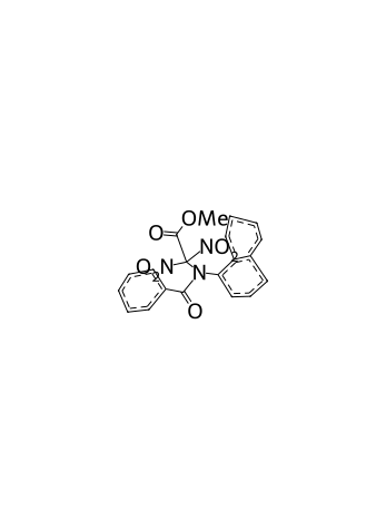 COC(=O)C(N(C(=O)c1ccccc1)c1cccc2ccccc12)([N+](=O)[O-])[N+](=O)[O-]